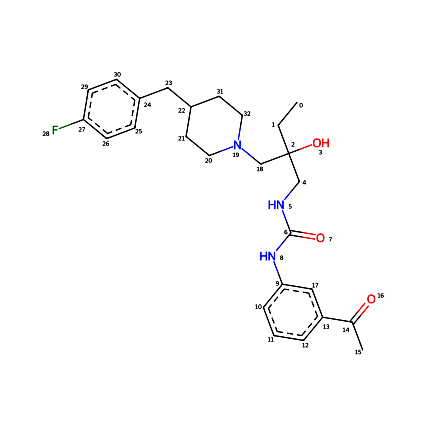 CCC(O)(CNC(=O)Nc1cccc(C(C)=O)c1)CN1CCC(Cc2ccc(F)cc2)CC1